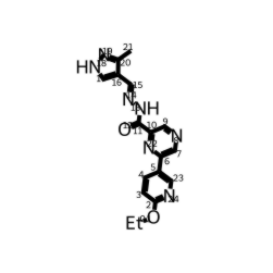 CCOc1ccc(-c2cncc(C(=O)N/N=C/c3c[nH]nc3C)n2)cn1